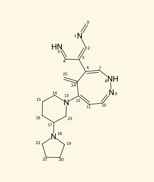 C=N/C=C(C=N)/C1=C/N/N=C\C=C(\N2CCCC(N3CCCC3)C2)C1=C